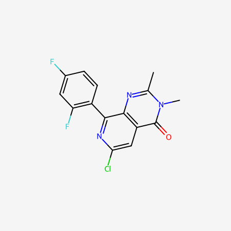 Cc1nc2c(-c3ccc(F)cc3F)nc(Cl)cc2c(=O)n1C